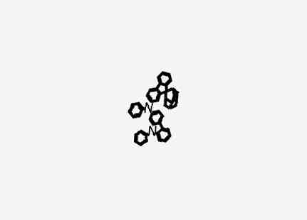 c1ccc(N(c2ccc3c(c2)C2(c4ccccc4-3)C3CC4CC(C3)CC2C4)c2ccc3c4ccccc4n(-c4ccccc4)c3c2)cc1